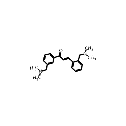 CN(C)Cc1cccc(C(=O)C=Cc2ccccc2CN(C)C)c1